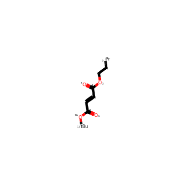 CC(C)CCOC(=O)/C=C/C(=O)OC(C)(C)C